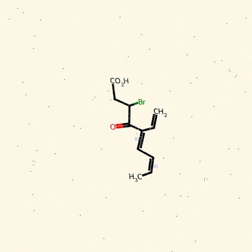 C=C/C(=C\C=C/C)C(=O)C(Br)CC(=O)O